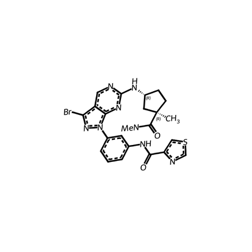 CNC(=O)[C@]1(C)CC[C@@H](Nc2ncc3c(Br)nn(-c4cccc(NC(=O)c5cscn5)c4)c3n2)C1